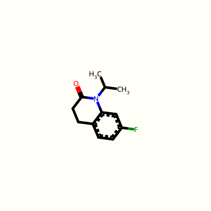 CC(C)N1C(=O)CCc2ccc(F)cc21